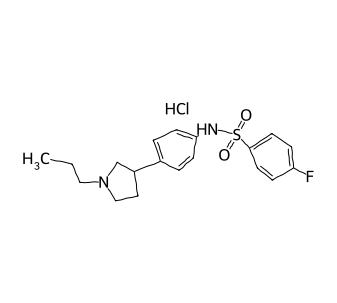 CCCN1CCC(c2ccc(NS(=O)(=O)c3ccc(F)cc3)cc2)C1.Cl